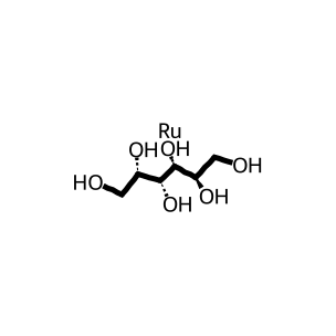 OC[C@@H](O)[C@@H](O)[C@H](O)[C@@H](O)CO.[Ru]